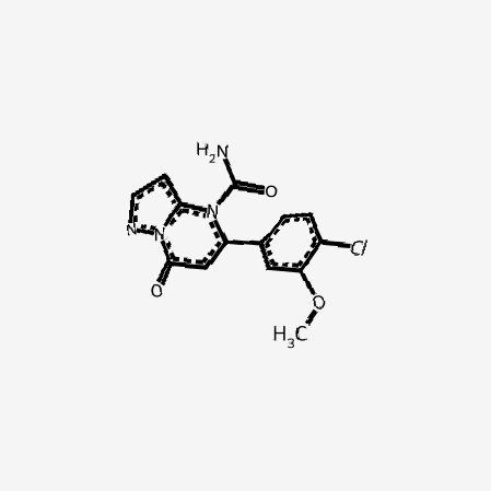 COc1cc(-c2cc(=O)n3nccc3n2C(N)=O)ccc1Cl